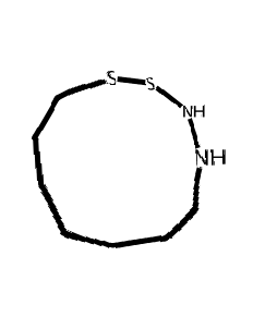 C1CCCNNSSCCC1